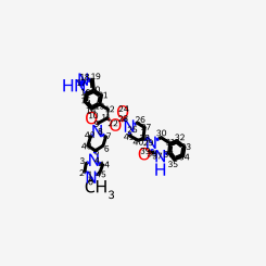 CN1CCN(C2CCN(C(=O)[C@@H](Cc3ccc4[nH]ncc4c3)OC(=O)N3CCC(N4Cc5ccccc5NC4=O)CC3)CC2)CC1